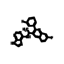 CC(Nc1ncnc2[nH]cnc12)c1cc2ccc(F)cc2nc1-c1cccc(F)c1